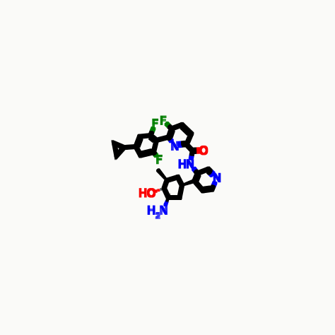 C[C@H]1C[C@@H](c2ccncc2NC(=O)c2ccc(F)c(-c3c(F)cc(C4CC4)cc3F)n2)C[C@@H](N)[C@@H]1O